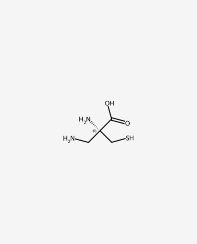 NC[C@](N)(CS)C(=O)O